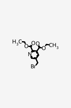 CCOC(=O)c1cc(CBr)cnc1C(=O)OCC